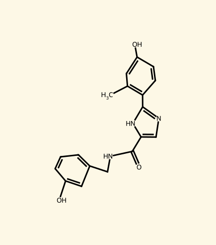 Cc1cc(O)ccc1-c1ncc(C(=O)NCc2cccc(O)c2)[nH]1